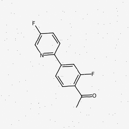 CC(=O)c1ccc(-c2ccc(F)cn2)cc1F